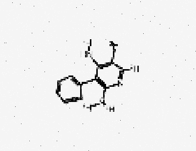 [2H]Nc1c([2H])c([2H])nc(N([2H])[2H])c1-c1ccccc1